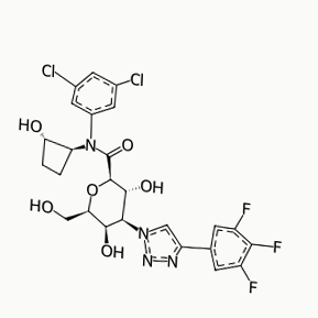 O=C([C@@H]1O[C@H](CO)[C@H](O)[C@H](n2cc(-c3cc(F)c(F)c(F)c3)nn2)[C@H]1O)N(c1cc(Cl)cc(Cl)c1)[C@H]1CC[C@@H]1O